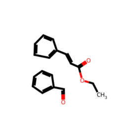 CCOC(=O)C=Cc1ccccc1.O=Cc1ccccc1